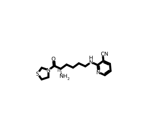 N#Cc1cccnc1NCCCC[C@H](N)C(=O)N1CCSC1